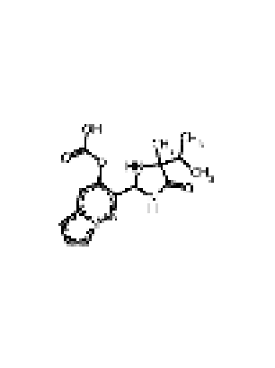 CC(C)C1(C)NC(c2nn3cccc3cc2OC(=O)O)NC1=O